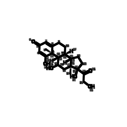 C[C@]12C(O)=CC(=O)C=C1CC[C@@H]1[C@@H]2C(O)C[C@@]2(C)[C@H]1CC[C@]2(O)C(=O)CO